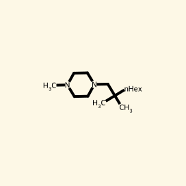 CCCCCCC(C)(C)CN1CCN(C)CC1